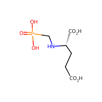 O=C(O)CC[C@H](NCP(=O)(O)O)C(=O)O